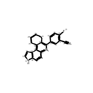 N#Cc1cc(-c2nc3ccc4[nH]ccc4c3c3c2CCCC3)ccc1F